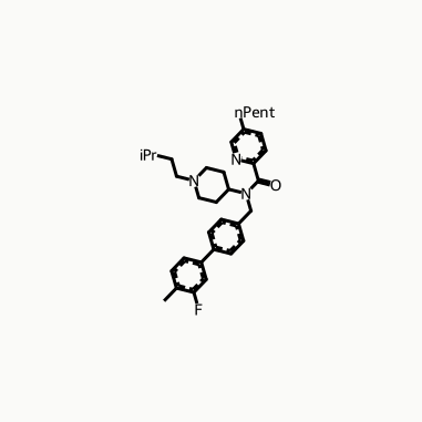 CCCCCc1ccc(C(=O)N(Cc2ccc(-c3ccc(C)c(F)c3)cc2)C2CCN(CCC(C)C)CC2)nc1